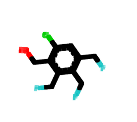 OCc1c(Cl)cc(CF)c(CF)c1CF